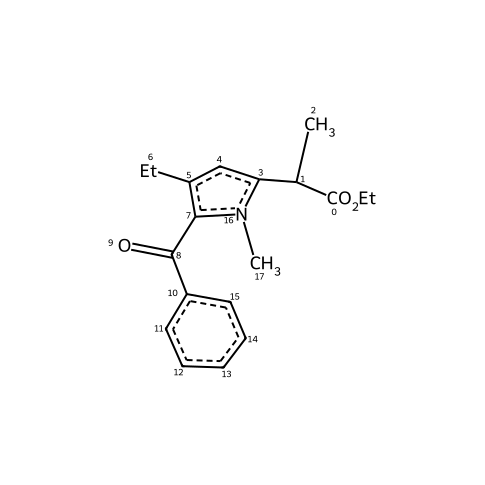 CCOC(=O)C(C)c1cc(CC)c(C(=O)c2ccccc2)n1C